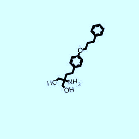 NC(CO)(CO)CCc1ccc(OCCCc2ccccc2)cc1